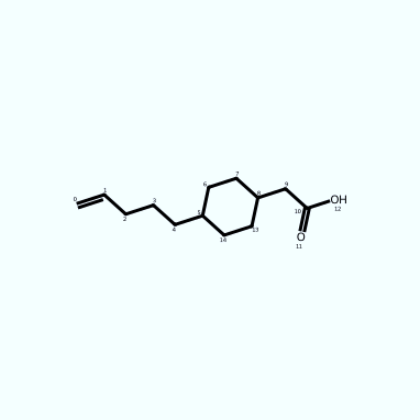 C=CCCCC1CCC(CC(=O)O)CC1